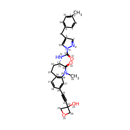 Cc1ccc(Cc2cnn(C(=O)N[C@H]3CCc4ccc(C#CC5(O)COC5)cc4N(C)C3=O)c2)cc1